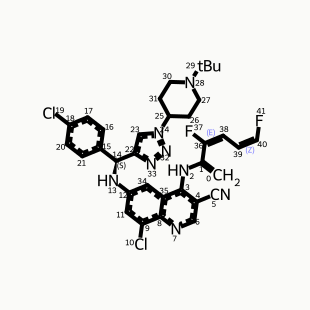 C=C(Nc1c(C#N)cnc2c(Cl)cc(N[C@@H](c3ccc(Cl)cc3)c3cn(C4CCN(C(C)(C)C)CC4)nn3)cc12)/C(F)=C\C=C/F